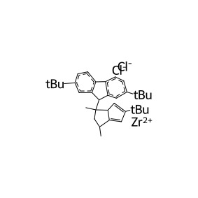 CC1CC(C)(C2c3cc(C(C)(C)C)ccc3-c3ccc(C(C)(C)C)cc32)C2C=C(C(C)(C)C)C=C12.[Cl-].[Cl-].[Zr+2]